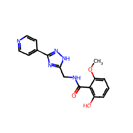 COc1cccc(O)c1C(=O)NCc1nc(-c2ccncc2)n[nH]1